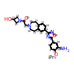 CC(C)Oc1ccc(-c2nc(-c3ccc4c(c3)CCN(CC(=O)N3CC(O)C3)CC4)no2)cc1N